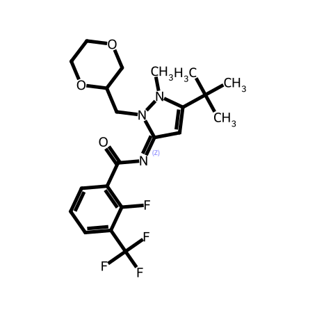 Cn1c(C(C)(C)C)c/c(=N/C(=O)c2cccc(C(F)(F)F)c2F)n1CC1COCCO1